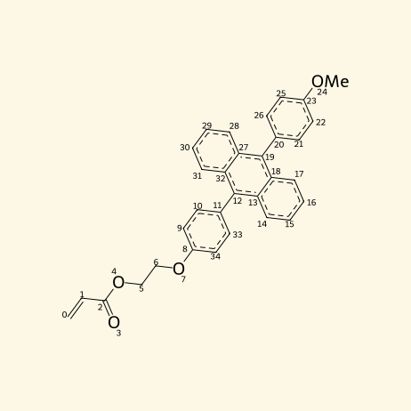 C=CC(=O)OCCOc1ccc(-c2c3ccccc3c(-c3ccc(OC)cc3)c3ccccc23)cc1